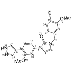 COc1cc(Cn2ccn(-c3ccc(-c4cn[nH]c4)c(OC)n3)c2=O)ccc1F